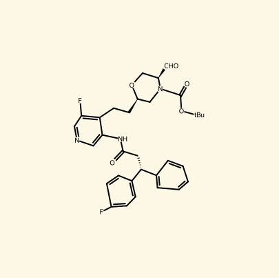 CC(C)(C)OC(=O)N1C[C@@H](CCc2c(F)cncc2NC(=O)C[C@H](c2ccccc2)c2ccc(F)cc2)OC[C@H]1C=O